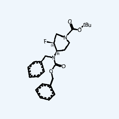 CC(C)(C)OC(=O)N1CC[C@@H](N(Cc2ccccc2)C(=O)OCc2ccccc2)[C@@H](F)C1